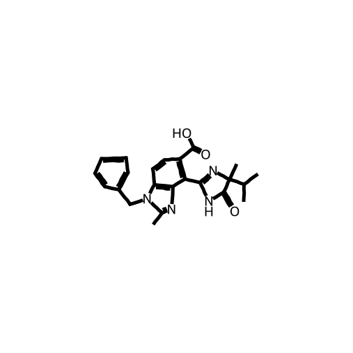 Cc1nc2c(C3=NC(C)(C(C)C)C(=O)N3)c(C(=O)O)ccc2n1Cc1ccccc1